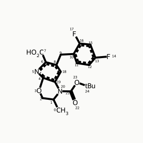 CC1COc2nc(C(=O)O)c(Cc3ccc(F)cc3F)cc2N1C(=O)OC(C)(C)C